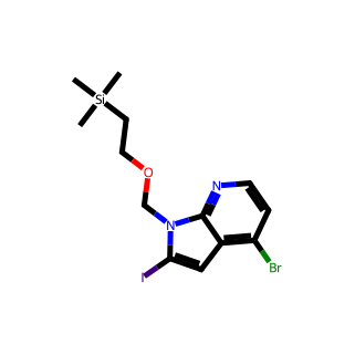 C[Si](C)(C)CCOCn1c(I)cc2c(Br)ccnc21